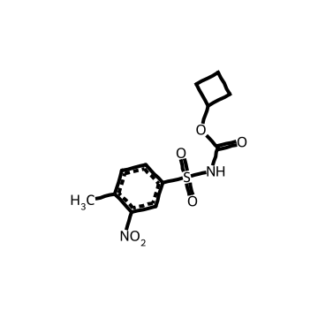 Cc1ccc(S(=O)(=O)NC(=O)OC2CCC2)cc1[N+](=O)[O-]